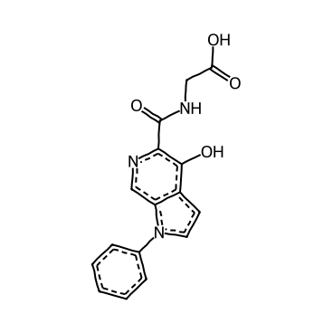 O=C(O)CNC(=O)c1ncc2c(ccn2-c2ccccc2)c1O